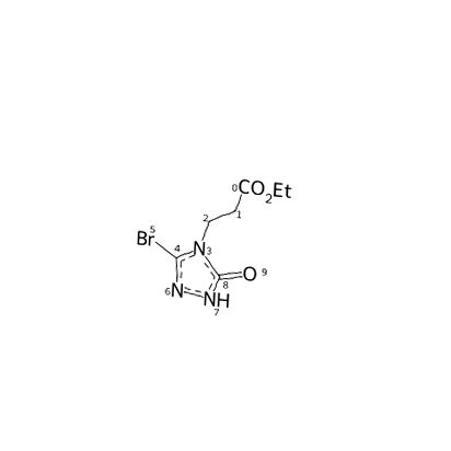 CCOC(=O)CCn1c(Br)n[nH]c1=O